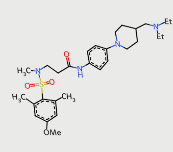 CCN(CC)CC1CCN(c2ccc(NC(=O)CCN(C)S(=O)(=O)c3c(C)cc(OC)cc3C)cc2)CC1